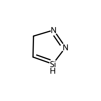 C1=[SiH]N=NC1